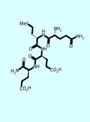 CSCC[C@H](NC(=O)[C@H](N)CCC(N)=O)C(=O)N[C@@H](CCC(=O)O)C(=O)N[C@@H](CCC(=O)O)C(N)=O